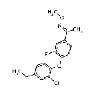 CCc1ccc(Oc2ccc(C(C)=NOC)cc2F)c(O)c1